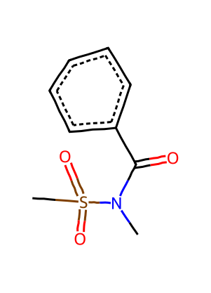 CN(C(=O)c1ccccc1)S(C)(=O)=O